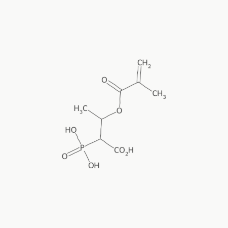 C=C(C)C(=O)OC(C)C(C(=O)O)P(=O)(O)O